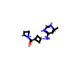 Cc1cc(N[C@H]2C[C@H](C(=O)N3CCC3)C2)ncn1